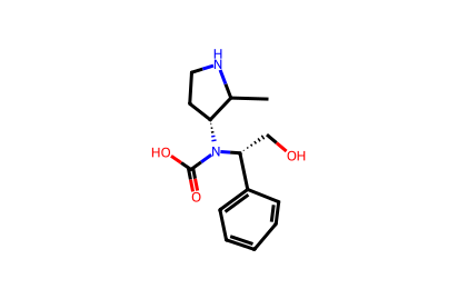 CC1NCC[C@H]1N(C(=O)O)[C@H](CO)c1ccccc1